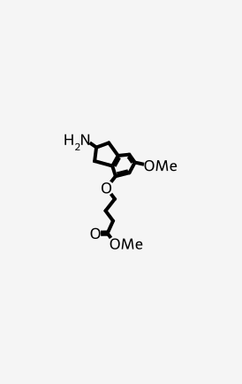 COC(=O)CCCOc1cc(OC)cc2c1CC(N)C2